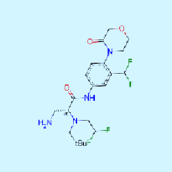 CC(C)(C)CN(CC(F)F)[C@H](CN)C(=O)Nc1ccc(N2CCOCC2=O)c(C(F)F)c1